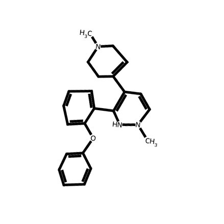 CN1CC=C(C2=C(c3ccccc3Oc3ccccc3)NN(C)C=C2)CC1